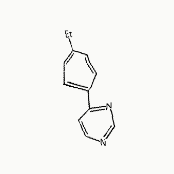 [CH2]Cc1ccc(-c2ccncn2)cc1